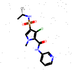 C[C@@H](NS(=O)(=O)c1cn(C)c(C(=O)Nc2cccnc2)c1Cl)C(F)(F)F